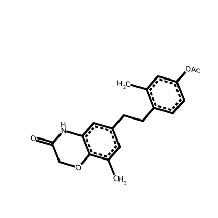 CC(=O)Oc1ccc(CCc2cc(C)c3c(c2)NC(=O)CO3)c(C)c1